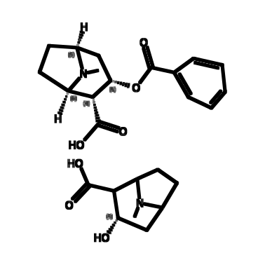 CN1C2CCC1C(C(=O)O)[C@@H](O)C2.CN1[C@H]2CC[C@@H]1[C@@H](C(=O)O)[C@@H](OC(=O)c1ccccc1)C2